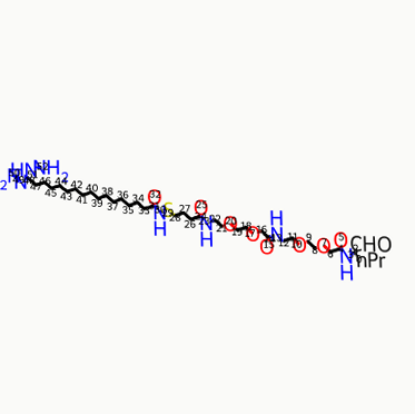 CCC[C@@H](C=O)NC(=O)COCCOCCNC(=O)COCCOCCNC(=O)CCCSNC(=O)CCCCCCCCCCCCCCC/C(=N/N)NN